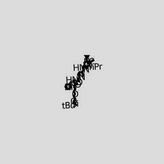 C=C=C1N(CCC)c2nc(-c3ccc(C(=O)N[C@H](Cc4ccccc4)C(=O)NCCOCCO[Si](C)(C)C(C)(C)C)nc3)[nH]c2CN1C1CC1